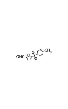 Cc1ccc(S(=O)(=O)c2ccc(C=O)o2)cc1